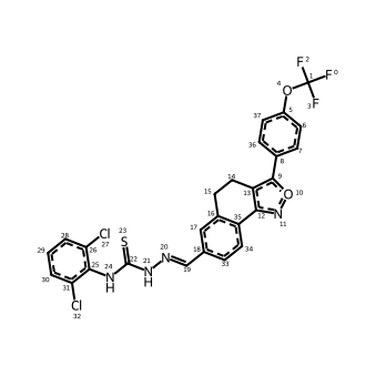 FC(F)(F)Oc1ccc(-c2onc3c2CCc2cc(C=NNC(=S)Nc4c(Cl)cccc4Cl)ccc2-3)cc1